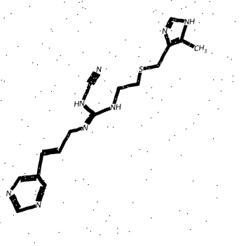 Cc1[nH]cnc1CSCCNC(=NCC=Cc1cncnc1)NC#N